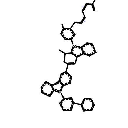 C=C(C)/C=C\C=C/Cc1cc(-n2c3c(c4ccccc42)C=C(c2ccc4c(c2)c2ccccc2n4-c2cccc(-c4ccccc4)c2)CC3C)ccc1C